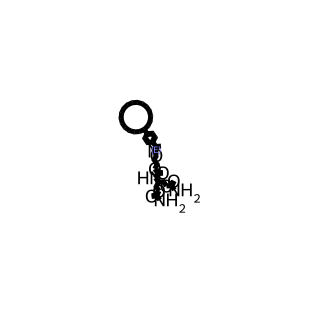 C/C(=N\OCCOC(=O)NC(COC(N)=O)COC(N)=O)c1ccc(C2CCCCCCCCCCCCCCCCC2)cc1